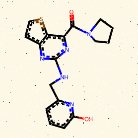 O=C(c1nc(NCc2cccc(O)n2)nc2ccsc12)N1CCCC1